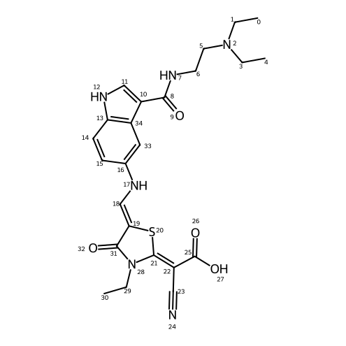 CCN(CC)CCNC(=O)c1c[nH]c2ccc(NC=c3sc(=C(C#N)C(=O)O)n(CC)c3=O)cc12